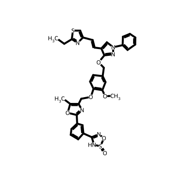 CCc1nc(C=Cc2cn(-c3ccccc3)nc2OCc2ccc(OCc3nc(-c4cccc(C5=NOS(=O)N5)c4)oc3C)c(OC)c2)cs1